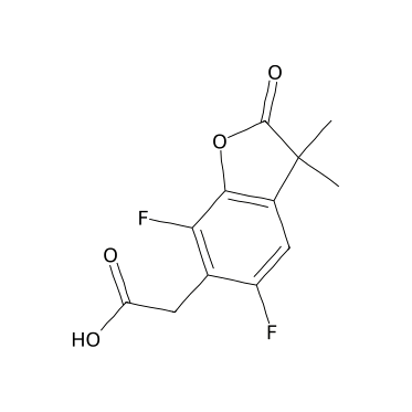 CC1(C)C(=O)Oc2c1cc(F)c(CC(=O)O)c2F